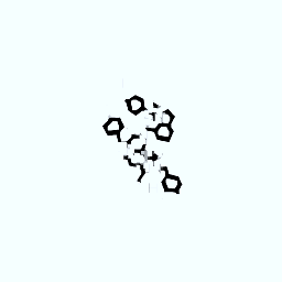 C=CCN1CC(=O)N2[C@@H](Cc3ccc(O)cc3)C(=O)N(Cc3cccc4ccn(S(=O)(=O)c5ccc(C)cc5)c34)C[C@@H]2N1C(=O)NCc1ccc(I)cc1